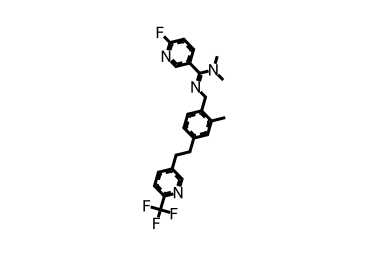 Cc1cc(CCc2ccc(C(F)(F)F)nc2)ccc1C/N=C(/c1ccc(F)nc1)N(C)C